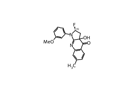 COc1cccc(N2C3=Nc4cc(C)ccc4C(=O)C3(O)C[C@@H]2F)c1